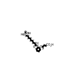 O=C(O)C=CC(F)Oc1ccccc1NC(=O)CCCCCCCCP(=O)(O)O